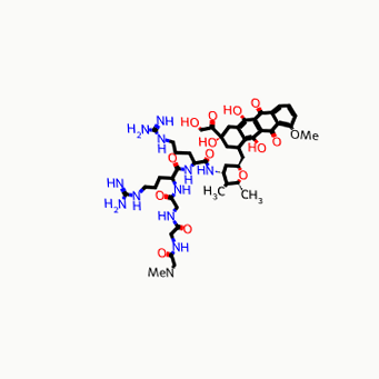 CNCC(=O)NCC(=O)NCC(=O)NC(CCCNC(=N)N)C(=O)NC(CCCNC(=N)N)C(=O)N[C@@H]1C[C@@H](CC2C[C@@](O)(C(=O)CO)Cc3c(O)c4c(c(O)c32)C(=O)c2c(OC)cccc2C4=O)O[C@H](C)C1C